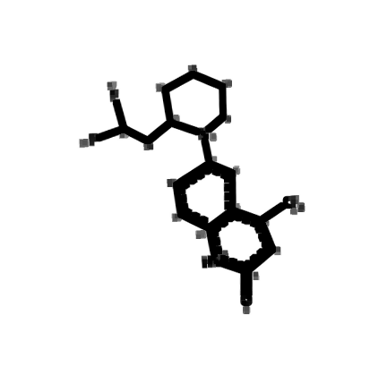 O=c1cc(C(F)(F)F)c2cc(N3CCCCC3CC(F)F)ccc2[nH]1